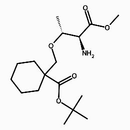 COC(=O)[C@@H](N)[C@@H](C)OCC1(C(=O)OC(C)(C)C)CCCCC1